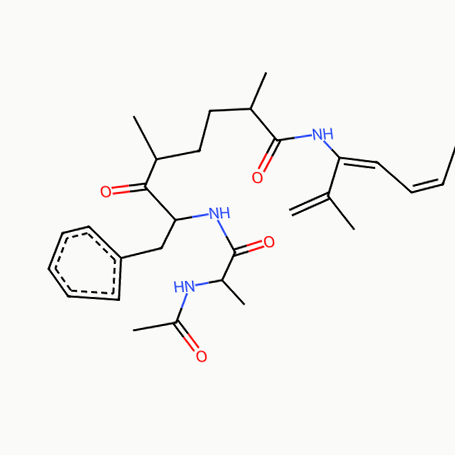 C=C(C)/C(=C\C=C/C)NC(=O)C(C)CCC(C)C(=O)C(Cc1ccccc1)NC(=O)C(C)NC(C)=O